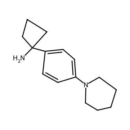 NC1(c2ccc(N3CCCCC3)cc2)CCC1